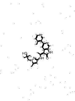 C/C(Nc1cc(C)n(CC(C)(C)O)n1)=C1/C(=O)Nc2cnc(-c3cnccc3C)cc21